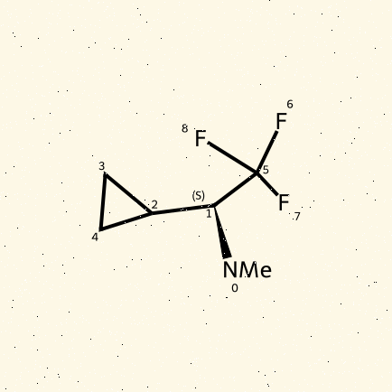 CN[C@@H](C1CC1)C(F)(F)F